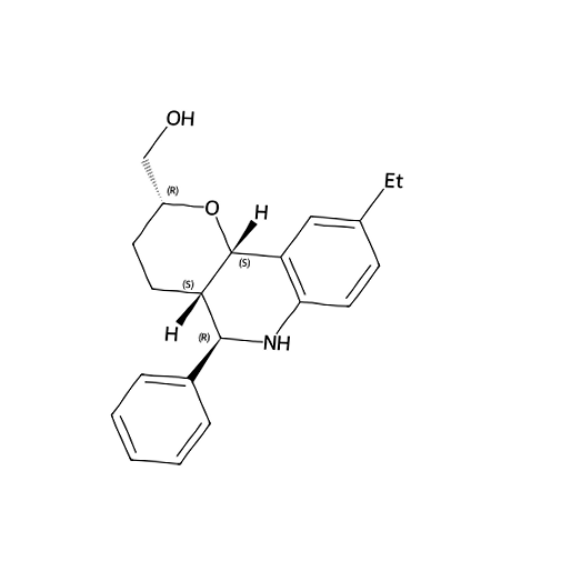 CCc1ccc2c(c1)[C@H]1O[C@@H](CO)CC[C@H]1[C@H](c1ccccc1)N2